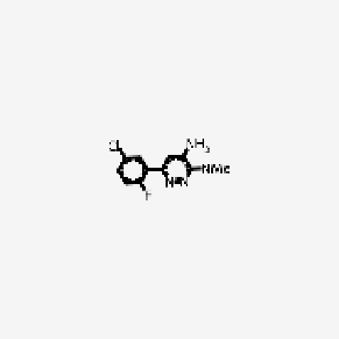 CNc1nnc(-c2cc(Cl)ccc2F)cc1N